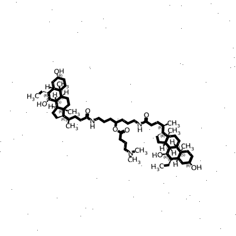 CC[C@H]1[C@@H](O)[C@@H]2[C@H](CC[C@]3(C)[C@@H]([C@H](C)CCC(=O)NCCCC(CCCNC(=O)CC[C@@H](C)[C@H]4CC[C@H]5[C@@H]6[C@H](O)[C@H](CC)[C@@H]7C[C@H](O)CC[C@]7(C)[C@H]6CC[C@]45C)OC(=O)CCCN(C)C)CC[C@@H]23)[C@@]2(C)CC[C@@H](O)C[C@@H]12